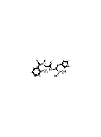 CN(CC(=O)NC(Cc1ccsc1)B(O)O)C(=O)c1ccccc1C(F)(F)F